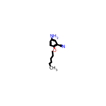 CCCCCCOc1ccc(N)cc1C#N